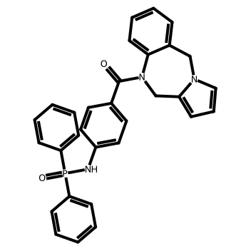 O=C(c1ccc(NP(=O)(c2ccccc2)c2ccccc2)cc1)N1Cc2cccn2Cc2ccccc21